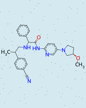 CO[C@@H]1CCN(c2ccc(NC(=O)C(NCC(C)c3ccc(C#N)cc3)c3ccccc3)nc2)C1